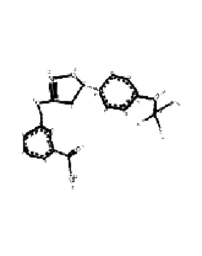 O=C(O)c1cccc(OC2=NO[C@H](c3ccc(OC(F)(F)F)cc3)C2)c1